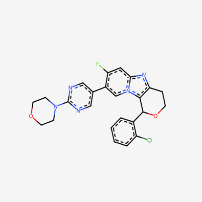 Fc1cc2nc3c(n2cc1-c1cnc(N2CCOCC2)nc1)C(c1ccccc1Cl)OCC3